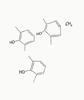 C.Cc1cccc(C)c1O.Cc1cccc(C)c1O.Cc1cccc(C)c1O